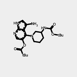 CC(C)(C)OC(=O)NC1CCCN(c2c(OC(=O)C(C)(C)C)cnc3[nH]cc(N)c23)C1